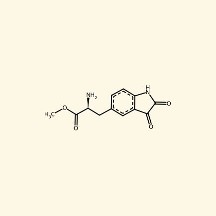 COC(=O)[C@@H](N)Cc1ccc2c(c1)C(=O)C(=O)N2